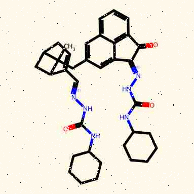 CC1(Cc2cc3c4c(cccc4c2)C(=O)/C3=N/NC(=O)NC2CCCCC2)C2CC=C(/C=N/NC(=O)NC3CCCCC3)C1C2